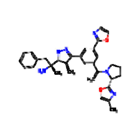 C=C1C(c2cc(C(=C)N3CCC[C@@H]3c3nc(C)co3)cc(-c3ncco3)c2)=NN=C1[C@](C)(N)Cc1ccccc1